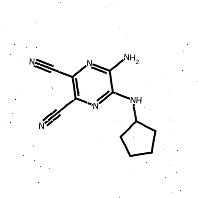 N#Cc1nc(N)c(NC2CCCC2)nc1C#N